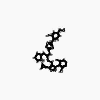 Cc1cccc(Cl)c1-c1noc(C2CC2)c1COC(Cc1noc(-c2ccc(C=O)cc2F)n1)CC1CCCN1